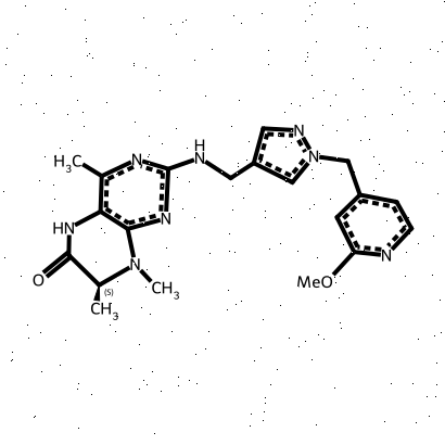 COc1cc(Cn2cc(CNc3nc(C)c4c(n3)N(C)[C@@H](C)C(=O)N4)cn2)ccn1